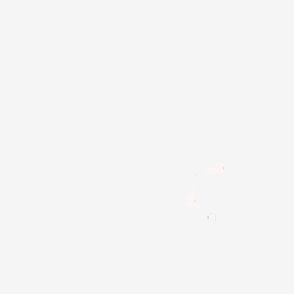 COC(=O)C1CC(c2ccc(Cl)cc2)C1